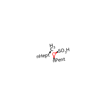 CCCCCCCC.CCCCCOS(=O)(=O)O